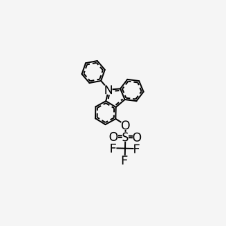 O=S(=O)(Oc1cccc2c1c1ccccc1n2-c1ccccc1)C(F)(F)F